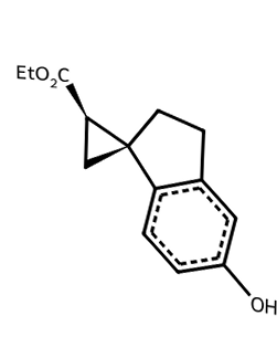 CCOC(=O)[C@@H]1C[C@]12CCc1cc(O)ccc12